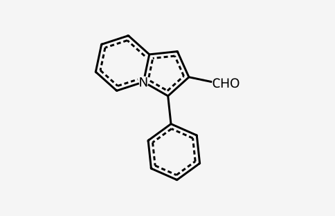 O=Cc1cc2ccccn2c1-c1ccccc1